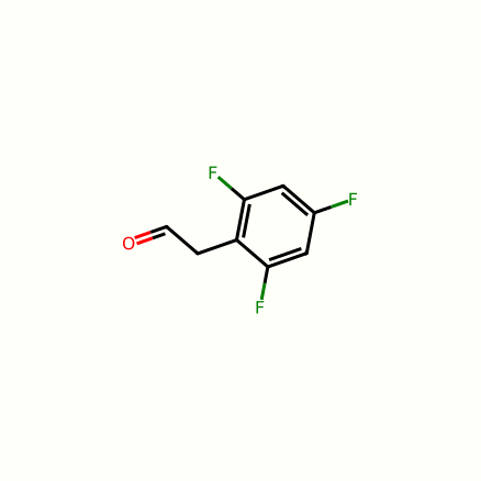 O=CCc1c(F)cc(F)cc1F